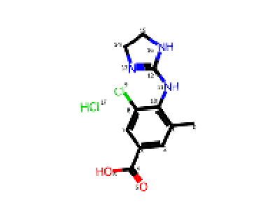 Cc1cc(C(=O)O)cc(Cl)c1NC1=NCCN1.Cl